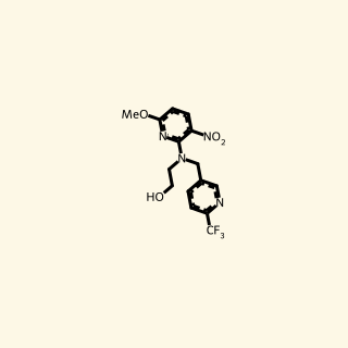 COc1ccc([N+](=O)[O-])c(N(CCO)Cc2ccc(C(F)(F)F)nc2)n1